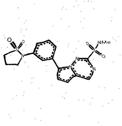 CNS(=O)(=O)c1ncc2ccc(-c3cccc(N4CCCS4(=O)=O)c3)n2n1